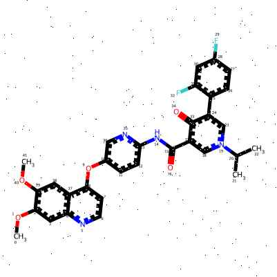 COc1cc2nccc(Oc3ccc(NC(=O)c4cn(C(C)C)cc(-c5ccc(F)cc5F)c4=O)nc3)c2cc1OC